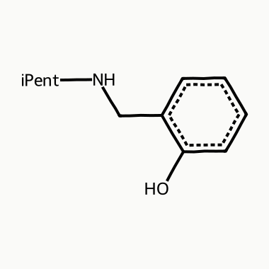 CCCC(C)NCc1ccccc1O